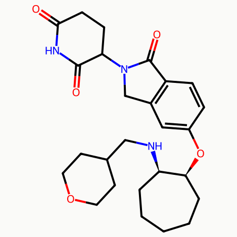 O=C1CCC(N2Cc3cc(O[C@H]4CCCCC[C@H]4NCC4CCOCC4)ccc3C2=O)C(=O)N1